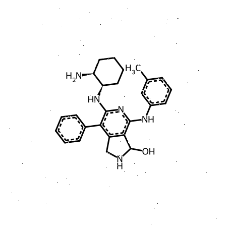 Cc1cccc(Nc2nc(N[C@@H]3CCCC[C@@H]3N)c(-c3ccccc3)c3c2C(O)NC3)c1